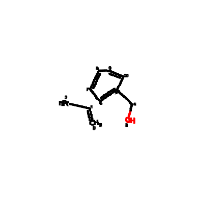 C=CCCC.OCc1ccccc1